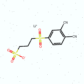 N#Cc1ccc(S(=O)(=O)CCCS(=O)(=O)[O-])cc1C#N.[Li+]